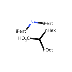 CCCC(C)NC(C)CCC.CCCCCCCCC(CCCCCC)C(=O)O